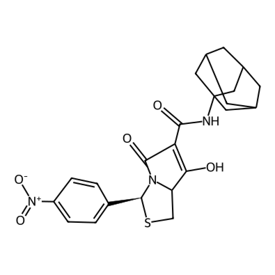 O=C(NC12CC3CC(CC(C3)C1)C2)C1=C(O)C2CS[C@@H](c3ccc([N+](=O)[O-])cc3)N2C1=O